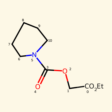 CCOC(=O)COC(=O)N1CCCCC1